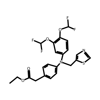 CCOC(=O)Cc1ccc(N(Cc2cncs2)c2ccc(OC(F)F)c(OC(F)F)c2)cc1